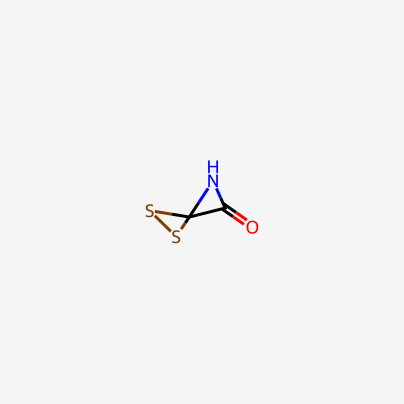 O=C1NC12SS2